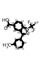 Cc1cc(-c2nn(C(F)(F)F)c3ccc(C(=O)O)cc23)ccn1